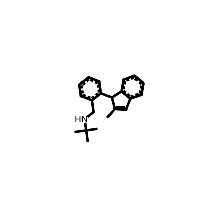 CC1=Cc2ccccc2C1c1ccccc1CNC(C)(C)C